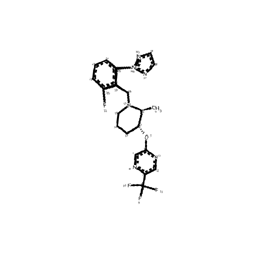 C[C@H]1[C@H](Oc2cnc(C(F)(F)F)cn2)CCCN1Cc1c(F)cccc1-n1nccn1